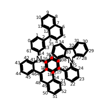 c1cc(-c2cccc3ccccc23)cc(N(c2ccc(-c3ccccc3-n3c4ccccc4c4ccccc43)cc2)c2ccccc2-c2cc3ccccc3c3ccccc23)c1